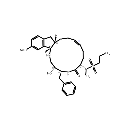 COc1ccc2c(c1)[C@H]1NC[C@@H](O)[C@H](Cc3ccccc3)NC(=O)[C@@H](N(C)S(=O)(=O)CCC(F)(F)F)CC/C=C\CO[C@H]1C2